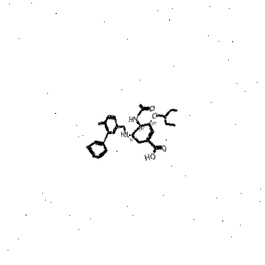 CCC(CC)O[C@@H]1C=C(C(=O)O)C[C@H](NCc2ccc(C)c(-c3ccccc3)c2)[C@H]1NC(C)=O